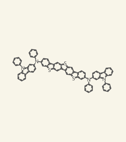 c1ccc(N(c2ccc3c(c2)sc2cc4c(cc23)sc2cc3c(cc24)sc2cc(N(c4ccccc4)c4ccc5c6ccccc6n(-c6ccccc6)c5c4)ccc23)c2ccc3c4ccccc4n(-c4ccccc4)c3c2)cc1